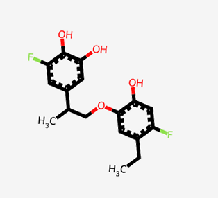 CCc1cc(OCC(C)c2cc(O)c(O)c(F)c2)c(O)cc1F